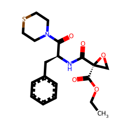 CCOC(=O)[C@@]1(C(=O)N[C@@H](Cc2ccccc2)C(=O)N2CCSCC2)CO1